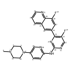 CN1CCN(c2ccc(Nc3ncc(F)c(-c4cc(F)c5ncccc5c4)n3)nc2)CC1